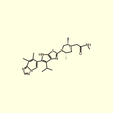 CNC(=O)CN1C[C@H](C)N(c2nc3c(C(C)C)c(-c4cn5ncnc5c(C)c4C)[nH]c3s2)C[C@H]1C